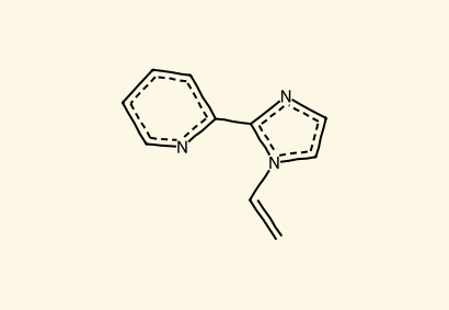 C=Cn1ccnc1-c1ccccn1